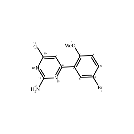 COc1ccc(Br)cc1-c1cc(Cl)nc(N)n1